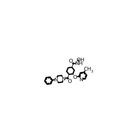 Cc1ccnc(O[C@H]2C[C@H](C(=O)NO)CC[C@@H]2C(=O)N2CCN(c3ccccc3)CC2)c1